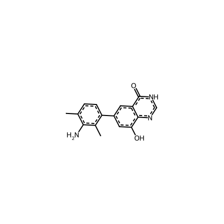 Cc1ccc(-c2cc(O)c3nc[nH]c(=O)c3c2)c(C)c1N